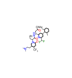 COC(=O)C[C@H](NC(=O)C(CC(C)C)n1cc(CCN(C)C)c(C(F)(F)F)cc1=O)c1cc(-c2c(C)cccc2C)cc(C(F)F)n1